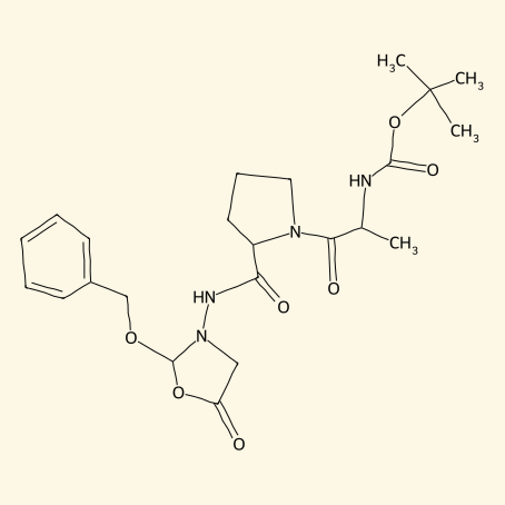 CC(NC(=O)OC(C)(C)C)C(=O)N1CCCC1C(=O)NN1CC(=O)OC1OCc1ccccc1